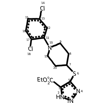 CCOC(=O)c1[nH]nnc1SC1CCN(c2cc(Cl)ccc2Cl)CC1